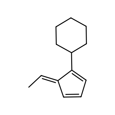 CC=C1C=CC=C1C1CCCCC1